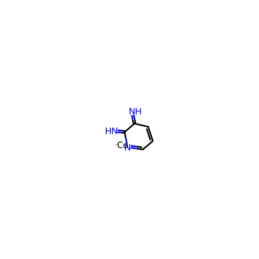 N=C1C=CC=NC1=N.[Co]